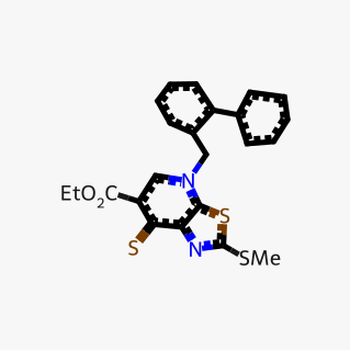 CCOC(=O)c1cn(Cc2ccccc2-c2ccccc2)c2sc(SC)nc2c1=S